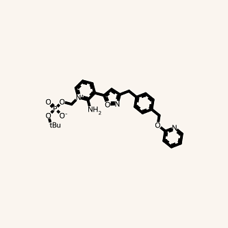 CC(C)(C)OP(=O)([O-])OC[n+]1cccc(-c2cc(Cc3ccc(COc4ccccn4)cc3)no2)c1N